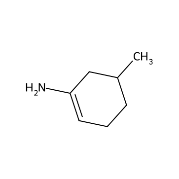 CC1CCC=C(N)C1